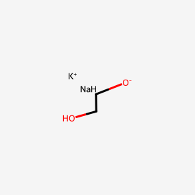 [K+].[NaH].[O-]CCO